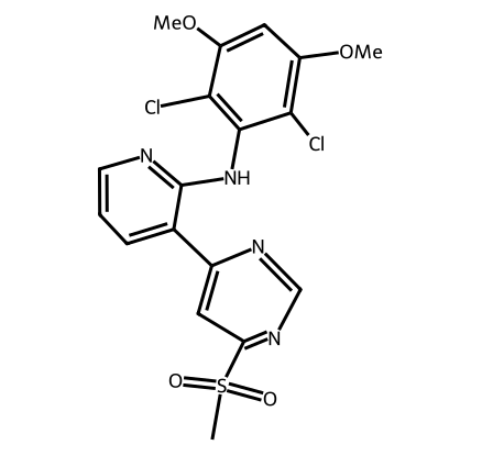 COc1cc(OC)c(Cl)c(Nc2ncccc2-c2cc(S(C)(=O)=O)ncn2)c1Cl